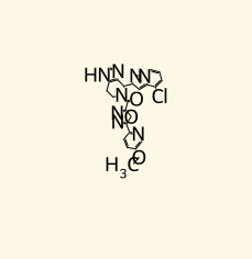 COc1ccc(-c2nnc(C(=O)N3CCc4[nH]cnc4C3c3cc4c(Cl)cccn4n3)o2)nc1